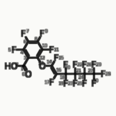 O=C(O)c1c(F)c(F)c(F)c(F)c1OC(F)=C(F)C(F)(F)C(F)(F)C(F)(F)C(F)(F)F